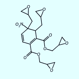 O=C(OCC1CO1)C1=C(C(=O)OCC2CO2)C(CC2CO2)C(CC2CO2)([N+](=O)[O-])C=C1